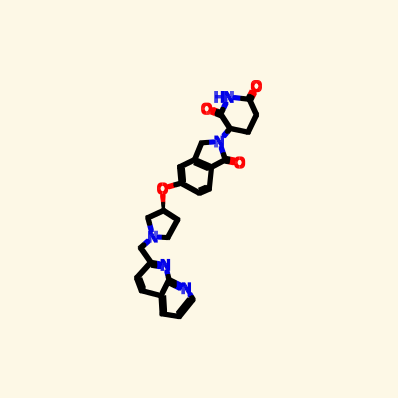 O=C1CCC(N2Cc3cc(O[C@H]4CCN(Cc5ccc6cccnc6n5)C4)ccc3C2=O)C(=O)N1